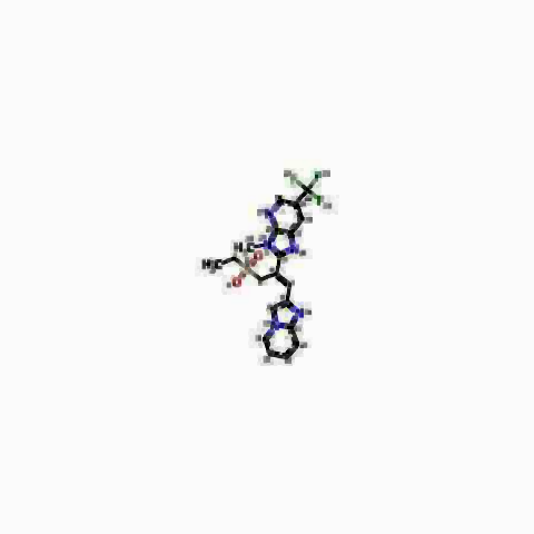 CCS(=O)(=O)C/C(=C\c1cn2ccccc2n1)c1nc2cc(C(F)(F)F)cnc2n1C